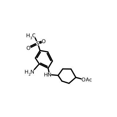 CC(=O)OC1CCC(Nc2ccc(S(C)(=O)=O)cc2N)CC1